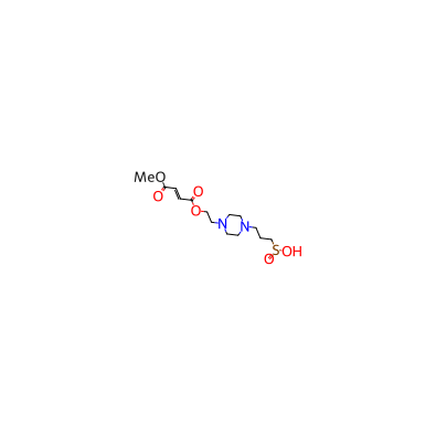 COC(=O)/C=C/C(=O)OCCN1CCN(CCCS(=O)O)CC1